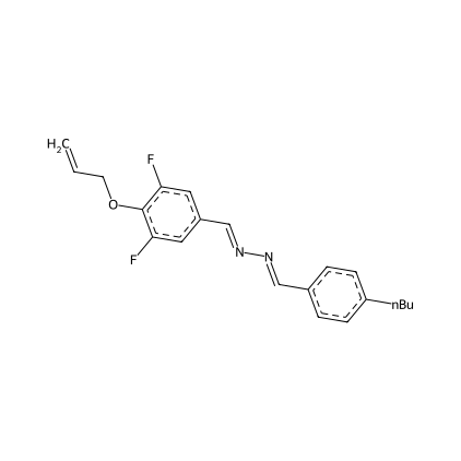 C=CCOc1c(F)cc(/C=N/N=C/c2ccc(CCCC)cc2)cc1F